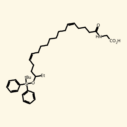 CCC(CC/C=C\CCCCCCC/C=C\CCCC(=O)NCC(=O)O)O[Si](c1ccccc1)(c1ccccc1)C(C)(C)C